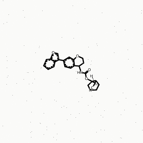 O=C(NC1CCOc2cc(-c3coc4ccccc34)ccc21)O[C@@H]1CN2CCC1CC2